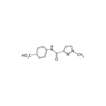 Cn1ccc(C(=O)Nc2ccc(C(=O)O)cc2)n1